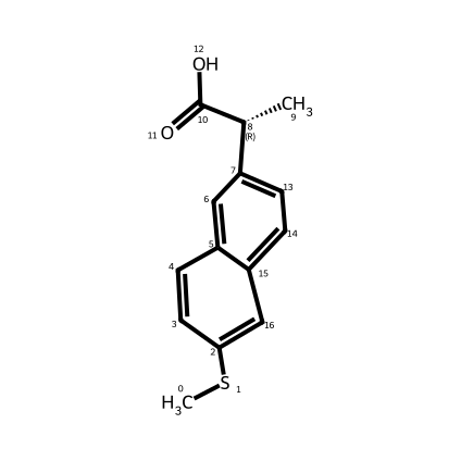 CSc1ccc2cc([C@@H](C)C(=O)O)ccc2c1